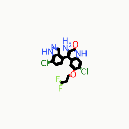 Nc1c(-c2ccc(Cl)c3[nH]ncc23)c2cc(OCCC(F)F)c(Cl)cc2[nH]c1=O